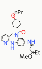 CCCO[C@H]1CC[C@H](C(=O)N2Cc3cccnc3Nc3ccc(N[C@H](C)C[C@@H](CC)OC)cc32)CC1